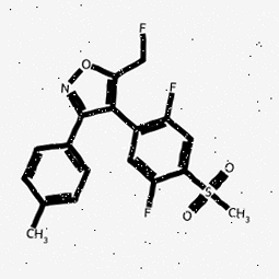 Cc1ccc(-c2noc(CF)c2-c2cc(F)c(S(C)(=O)=O)cc2F)cc1